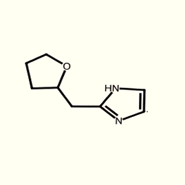 [c]1c[nH]c(CC2CCCO2)n1